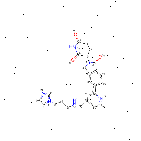 O=C1CCC(N2Cc3cc(-c4cc(CNCCCn5ccnc5)ccn4)ccc3C2=O)C(=O)N1